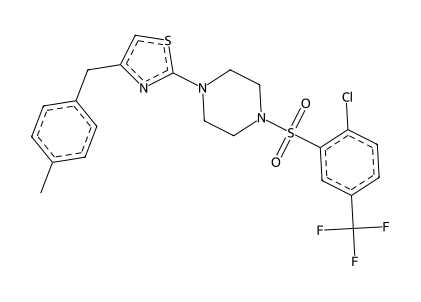 Cc1ccc(Cc2csc(N3CCN(S(=O)(=O)c4cc(C(F)(F)F)ccc4Cl)CC3)n2)cc1